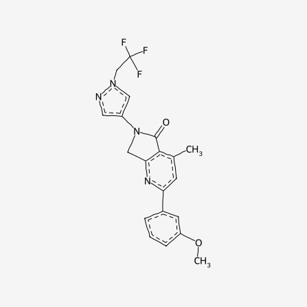 COc1cccc(-c2cc(C)c3c(n2)CN(c2cnn(CC(F)(F)F)c2)C3=O)c1